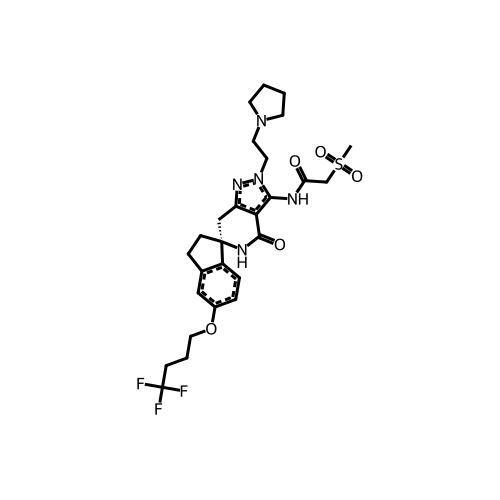 CS(=O)(=O)CC(=O)Nc1c2c(nn1CCN1CCCC1)C[C@]1(CCc3cc(OCCCC(F)(F)F)ccc31)NC2=O